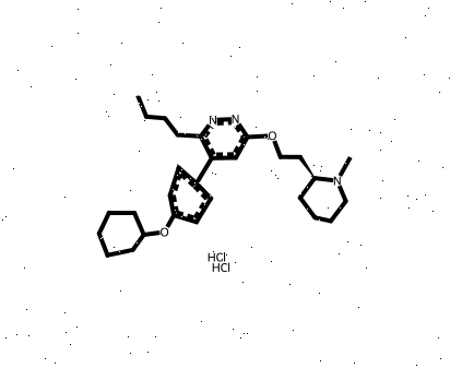 CCCCc1nnc(OCC[C@@H]2CCCCN2C)cc1-c1ccc(OC2CCCCC2)cc1.Cl.Cl